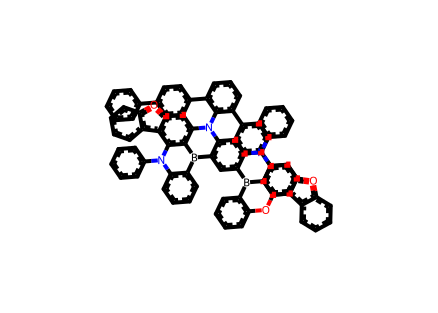 c1ccc(-c2ccc(-c3cccc(-c4ccc(-c5ccccc5)cc4)c3N3c4cc5c(cc4B4c6ccccc6N(c6ccccc6)c6c4c3cc3oc4ccccc4c63)B3c4ccccc4Oc4c3c(cc3oc6ccccc6c43)N5c3ccccc3)cc2)cc1